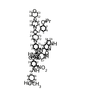 CC(C)Oc1ccccc1[C@H]1CN(C2CCOCC2)CCN1C1CC2(CCN(c3ccc(C(=O)NS(=O)(=O)c4ccc(NC[C@H]5CC[C@](C)(O)CC5)c([N+](=O)[O-])c4)c(N4c5cc6cc[nH]c6nc5O[C@@H]5CCOC[C@H]54)c3)CC2)C1